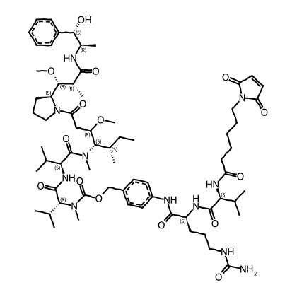 CC[C@H](C)[C@@H]([C@@H](CC(=O)N1CCC[C@H]1[C@H](OC)[C@@H](C)C(=O)N[C@H](C)[C@@H](O)c1ccccc1)OC)N(C)C(=O)[C@@H](NC(=O)[C@@H](C(C)C)N(C)C(=O)OCc1ccc(NC(=O)[C@H](CCCNC(N)=O)NC(=O)[C@@H](NC(=O)CCCCCN2C(=O)C=CC2=O)C(C)C)cc1)C(C)C